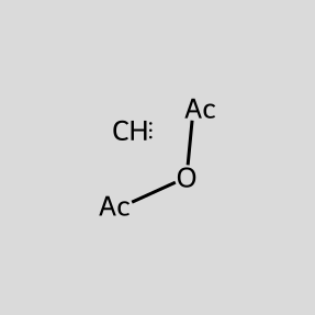 CC(=O)OC(C)=O.[CH]